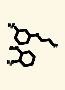 CC(C)CCOC1CCCC(C)C1.COC1CCCCC1C